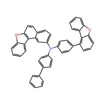 c1ccc(-c2ccc(N(c3ccc(-c4cccc5oc6ccccc6c45)cc3)c3ccc4ccc5oc6ccccc6c5c4c3)cc2)cc1